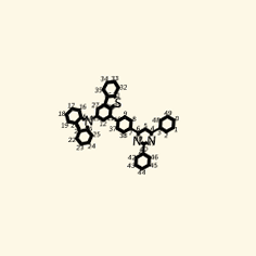 c1ccc(-c2cc(-c3ccc(-c4cc(-n5c6ccccc6c6ccccc65)cc5c4sc4ccccc45)cc3)nc(-c3ccccc3)n2)cc1